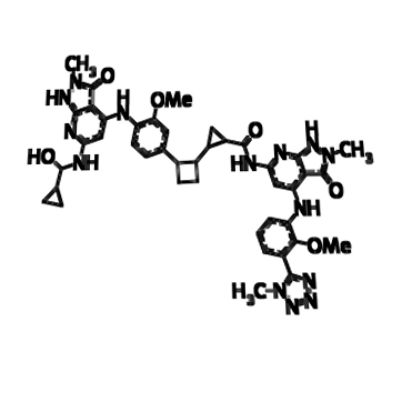 COc1cc(C2CCC2C2CC2C(=O)Nc2cc(Nc3cccc(-c4nnnn4C)c3OC)c3c(=O)n(C)[nH]c3n2)ccc1Nc1cc(NC(O)C2CC2)nc2[nH]n(C)c(=O)c12